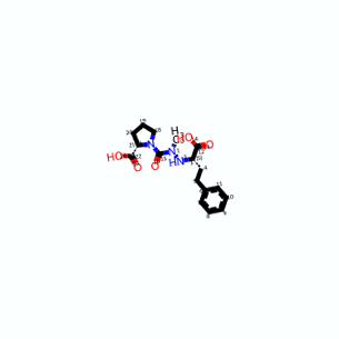 CN(N[C@@H](CCc1ccccc1)C(=O)O)C(=O)N1CCC[C@H]1C(=O)O